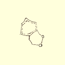 [c]1cccc2c1COO2